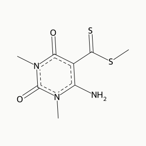 CSC(=S)c1c(N)n(C)c(=O)n(C)c1=O